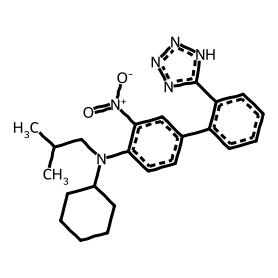 CC(C)CN(c1ccc(-c2ccccc2-c2nnn[nH]2)cc1[N+](=O)[O-])C1CCCCC1